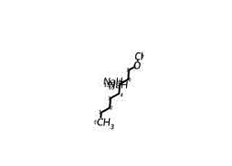 CCCCCCCCOCl.[NaH].[NaH]